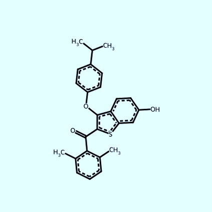 Cc1cccc(C)c1C(=O)c1sc2cc(O)ccc2c1Oc1ccc(C(C)C)cc1